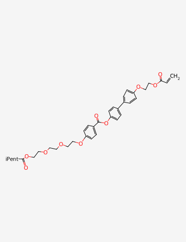 C=CC(=O)OCCOc1ccc(-c2ccc(OC(=O)c3ccc(OCCOCCOCCOC(=O)C(C)CCC)cc3)cc2)cc1